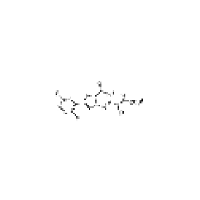 CC(C)C(NC(=O)O)c1nc2cc(-c3cc(F)ncc3F)sc2c(=O)[nH]1